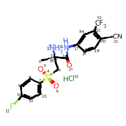 C[C@](N)(CS(=O)(=O)c1ccc(F)cc1)C(=O)Nc1ccc(C#N)c(C(F)(F)F)c1.Cl